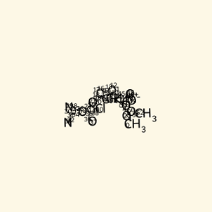 CCOC(COc1ccc(-c2cccc(-c3cccc(COc4cc(OCc5cncc(C#N)c5)c(C=O)cc4Cl)c3C)c2C)cc1[N+](=O)[O-])OCC